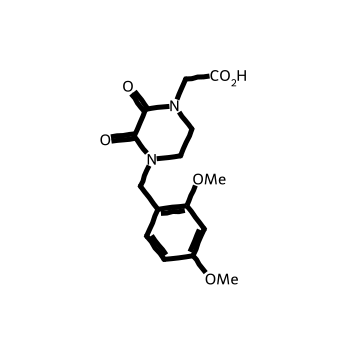 COc1ccc(CN2CCN(CC(=O)O)C(=O)C2=O)c(OC)c1